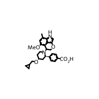 COc1cc(C)c2[nH]cc3c2c1C(N1CC[C@@H](OCC2CC2)C[C@@H]1c1ccc(C(=O)O)cc1)CO3